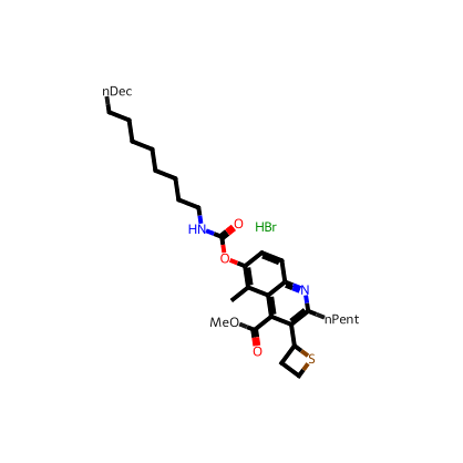 Br.CCCCCCCCCCCCCCCCCCNC(=O)Oc1ccc2nc(CCCCC)c(C3CCS3)c(C(=O)OC)c2c1C